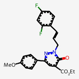 CCOC(=O)c1cc(-c2ccc(OC)cc2)nn(C/C=C/c2ccc(F)cc2F)c1=O